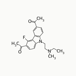 CCN(C)CCn1c2ccc(C(C)=O)cc2c2c(F)c(C(C)=O)ccc21